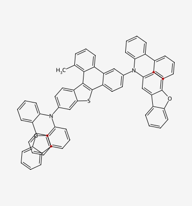 Cc1cccc2c3cc(N(c4ccc5oc6ccccc6c5c4)c4ccccc4-c4ccccc4)ccc3c3sc4cc(N(c5ccccc5-c5ccccc5)c5cccc6c5oc5ccccc56)ccc4c3c12